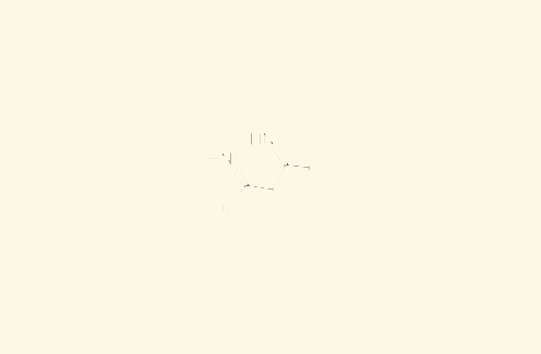 N=C(CC(=N)C(F)(F)F)C(F)(F)F